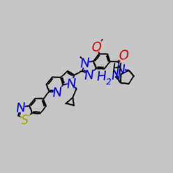 COc1cc(C(=O)N2CC3CCC2[C@@H]3N)cc2nc(-c3cc4ccc(-c5ccc6scnc6c5)nc4n3CC3CC3)n(C)c12